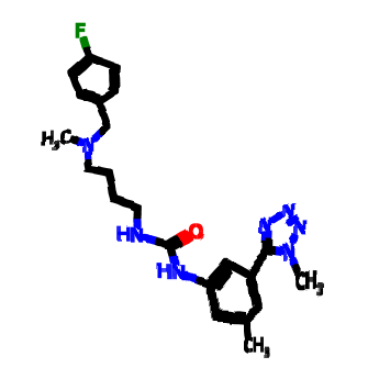 Cc1cc(NC(=O)NCCCCN(C)Cc2ccc(F)cc2)cc(-c2nnnn2C)c1